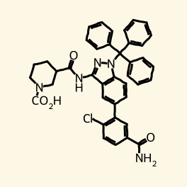 NC(=O)c1ccc(Cl)c(-c2ccc3c(c2)c(NC(=O)C2CCCN(C(=O)O)C2)nn3C(c2ccccc2)(c2ccccc2)c2ccccc2)c1